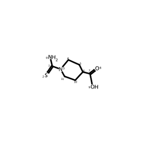 NC(=S)N1CCC(C(=O)O)CC1